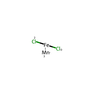 [Cl][Fe][Cl].[Mn]